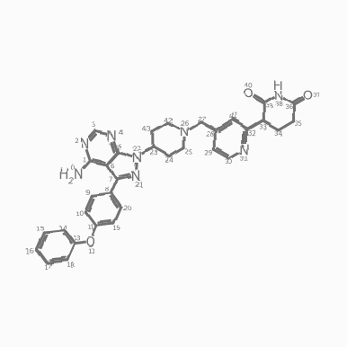 Nc1ncnc2c1c(-c1ccc(Oc3ccccc3)cc1)nn2C1CCN(Cc2ccnc(C3CCC(=O)NC3=O)c2)CC1